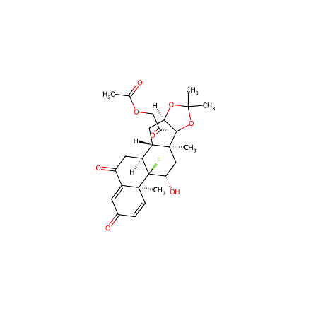 CC(=O)OCC(=O)[C@@]12OC(C)(C)O[C@@H]1C[C@H]1[C@@H]3CC(=O)C4=CC(=O)C=C[C@]4(C)[C@@]3(F)[C@@H](O)C[C@@]12C